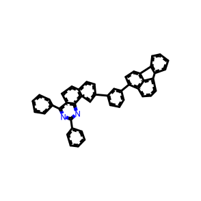 c1ccc(-c2nc(-c3ccccc3)c3ccc4ccc(-c5cccc(-c6ccc7c8c(cccc68)-c6ccccc6-7)c5)cc4c3n2)cc1